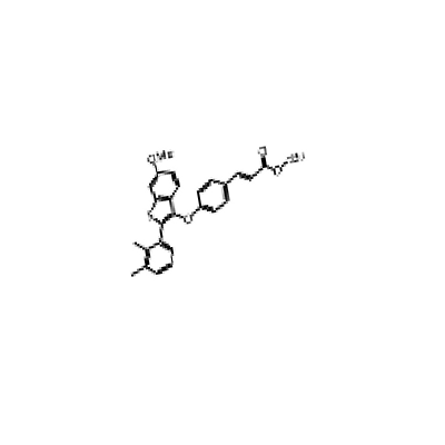 COc1ccc2c(Oc3ccc(/C=C/C(=O)OC(C)(C)C)cc3)c(-c3cccc(C)c3C)sc2c1